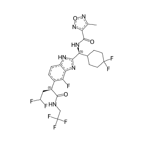 Cc1nonc1C(=O)N[C@H](c1nc2c(F)c([C@H](CC(F)F)C(=O)NCC(F)(F)F)ccc2[nH]1)C1CCC(F)(F)CC1